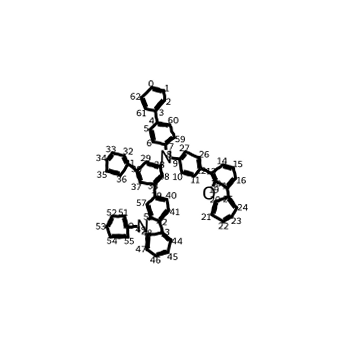 c1ccc(-c2ccc(N(c3ccc(-c4cccc5c4oc4ccccc45)cc3)c3cc(-c4ccccc4)cc(-c4ccc5c6ccccc6n(-c6ccccc6)c5c4)c3)cc2)cc1